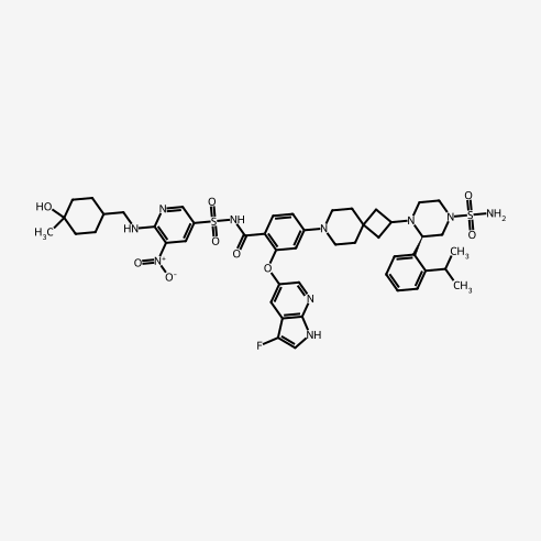 CC(C)c1ccccc1[C@@H]1CN(S(N)(=O)=O)CCN1C1CC2(CCN(c3ccc(C(=O)NS(=O)(=O)c4cnc(NCC5CCC(C)(O)CC5)c([N+](=O)[O-])c4)c(Oc4cnc5[nH]cc(F)c5c4)c3)CC2)C1